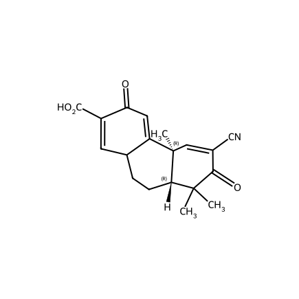 CC1(C)C(=O)C(C#N)=C[C@]2(C)C3=CC(=O)C(C(=O)O)=CC3CC[C@@H]12